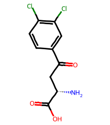 N[C@@H](CC(=O)c1ccc(Cl)c(Cl)c1)C(=O)O